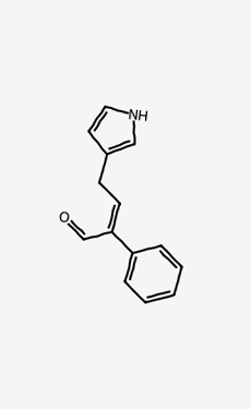 O=CC(=CCc1cc[nH]c1)c1ccccc1